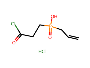 C=CCP(=O)(O)CCC(=O)Cl.Cl